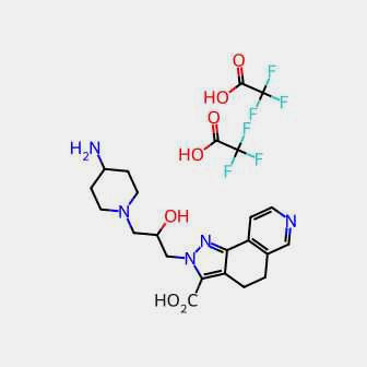 NC1CCN(CC(O)Cn2nc3c(c2C(=O)O)CCc2cnccc2-3)CC1.O=C(O)C(F)(F)F.O=C(O)C(F)(F)F